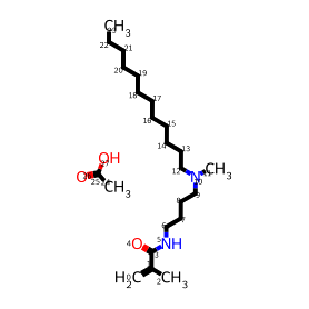 C=C(C)C(=O)NCCCCN(C)CCCCCCCCCCCC.CC(=O)O